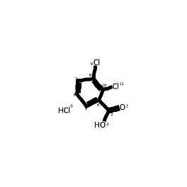 Cl.O=C(O)c1cccc(Cl)c1Cl